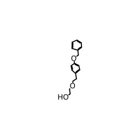 OCCOCCc1ccc(OCc2ccccc2)cc1